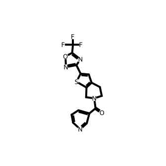 O=C(c1cccnc1)N1CCc2cc(-c3noc(C(F)(F)F)n3)sc2C1